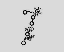 C[C@@H]1[C@@H](N(CCCc2ccccc2)c2ccc(-c3ccc(C(=O)NS(=O)(=O)c4ccc(NCC5CCCCC5)c([N+](=O)[O-])c4)cc3)cc2)C[C@H]2C[C@@H]1C2(C)C